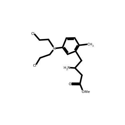 COC(=O)CC(N)Cc1cc(N(CCCl)CCCl)ccc1C